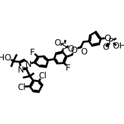 CC(C)(O)c1cn(-c2ccc(-c3cc(F)c(COC(=O)Cc4ccc(OP(C)(=O)O)cc4)c(S(C)(=O)=O)c3)cc2F)c(C(C)(C)c2c(Cl)cccc2Cl)n1